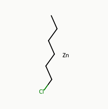 CCCCCCCl.[Zn]